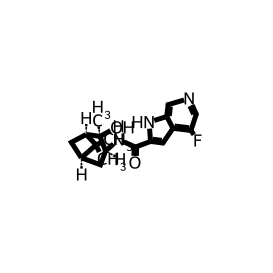 CC1(C)[C@H]2C[C@H](NC(=O)c3cc4c(F)cncc4[nH]3)[C@](C)(O)[C@@H]1C2